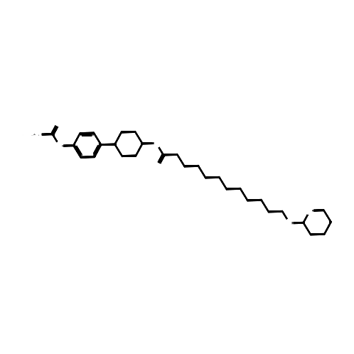 CCCCCCC(=O)Oc1ccc(C2CCC(OC(=O)CCCCCCCCCCCOC3CCCCO3)CC2)cc1